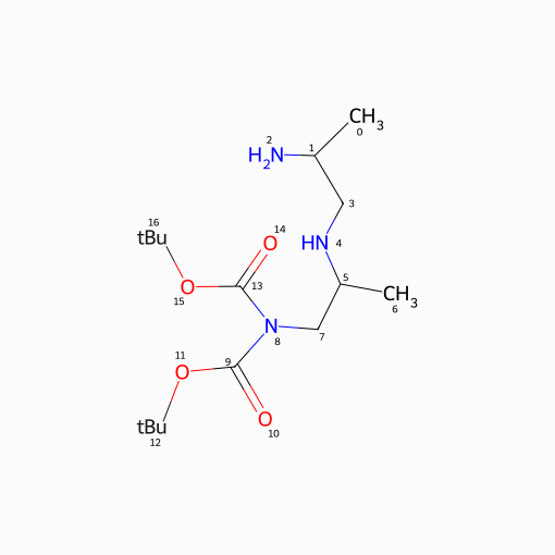 CC(N)CNC(C)CN(C(=O)OC(C)(C)C)C(=O)OC(C)(C)C